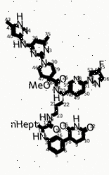 CCCCCCCC(Nc1cccc(C2CCC(=O)NC2=O)c1)C(=O)NCCC[C@H](NC(=O)C1(OC)CCN(c2nc(C)cc(Nc3cc(C)[nH]n3)n2)CC1)c1ccc(-n2cc(F)cn2)nc1